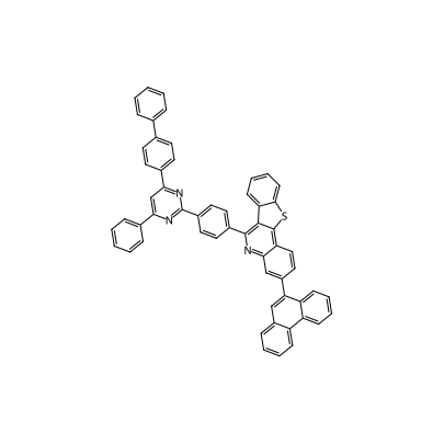 c1ccc(-c2ccc(-c3cc(-c4ccccc4)nc(-c4ccc(-c5nc6cc(-c7cc8ccccc8c8ccccc78)ccc6c6sc7ccccc7c56)cc4)n3)cc2)cc1